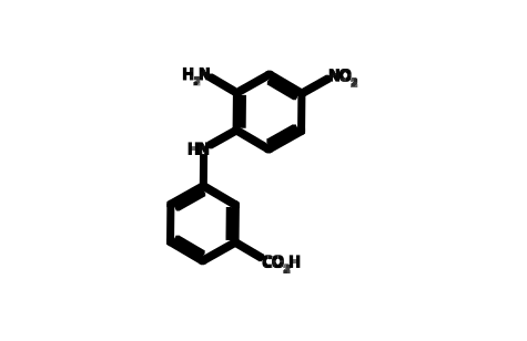 Nc1cc([N+](=O)[O-])ccc1Nc1cccc(C(=O)O)c1